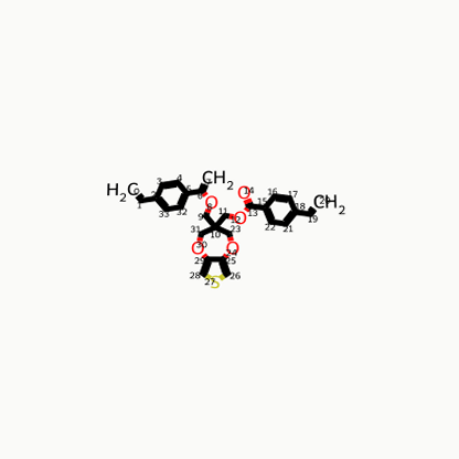 C=Cc1ccc(C(=C)OCC2(COC(=O)c3ccc(C=C)cc3)COc3cscc3OC2)cc1